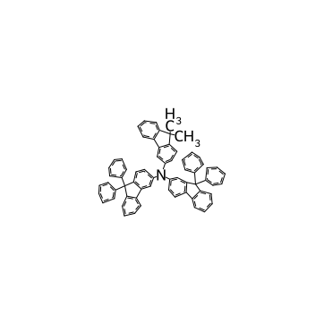 CC1(C)c2ccccc2-c2cc(N(c3ccc4c(c3)-c3ccccc3C4(c3ccccc3)c3ccccc3)c3ccc4c(c3)C(c3ccccc3)(c3ccccc3)c3ccccc3-4)ccc21